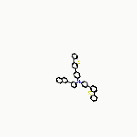 c1cc(-c2ccc3ccccc3c2)cc(N(c2ccc(-c3ccc4c(c3)sc3ccccc34)cc2)c2ccc(-c3cccc4c3sc3ccccc34)cc2)c1